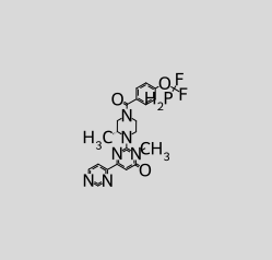 C[C@@H]1CN(C(=O)c2ccc(OC(F)(F)P)cc2)CCN1c1nc(-c2ccncn2)cc(=O)n1C